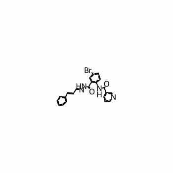 O=C(Nc1ccc(Br)cc1C(=O)NN=CC=Cc1ccccc1)c1cccnc1